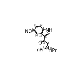 CCCN(CCC)CC(=O)c1c[nH]c2ccc(C#N)cc12